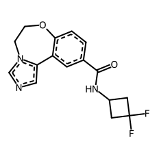 O=C(NC1CC(F)(F)C1)c1ccc2c(c1)-c1cncn1CCO2